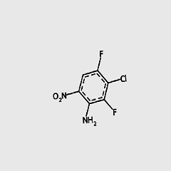 Nc1c([N+](=O)[O-])cc(F)c(Cl)c1F